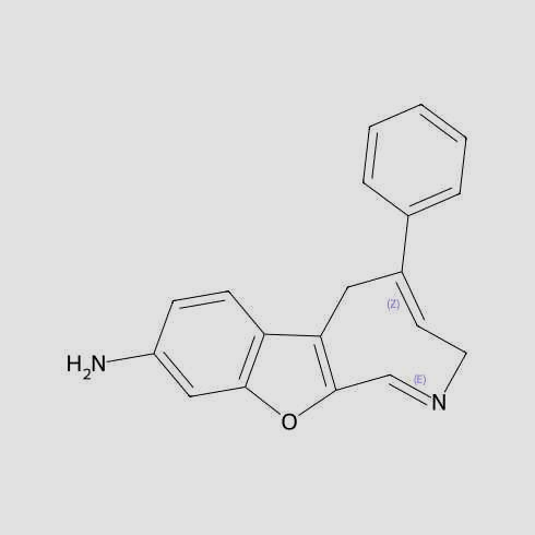 Nc1ccc2c3c(oc2c1)/C=N/C/C=C(\c1ccccc1)C3